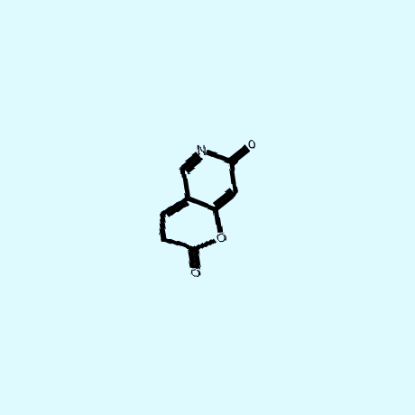 O=C1C=C2OC(=O)CC=C2C=N1